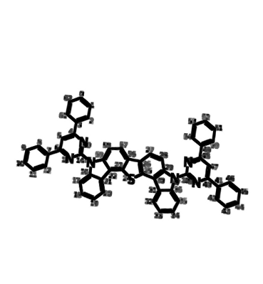 c1ccc(-c2cc(-c3ccccc3)nc(-n3c4ccccc4c4c5sc6c(ccc7c6c6ccccc6n7-c6nc(-c7ccccc7)cc(-c7ccccc7)n6)c5ccc43)n2)cc1